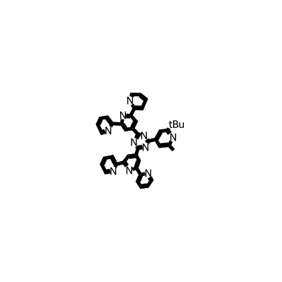 Cc1cc(-c2nc(-c3cc(-c4ccccn4)nc(-c4ccccn4)c3)nc(-c3cc(-c4ccccn4)nc(-c4ccccn4)c3)n2)cc(C(C)(C)C)n1